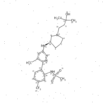 Cc1cc(N[C@@H]2CCCN(CCC(C)(C)O)C2)nnc1-c1ccc(C(F)(F)F)cc1NS(C)(=O)=O